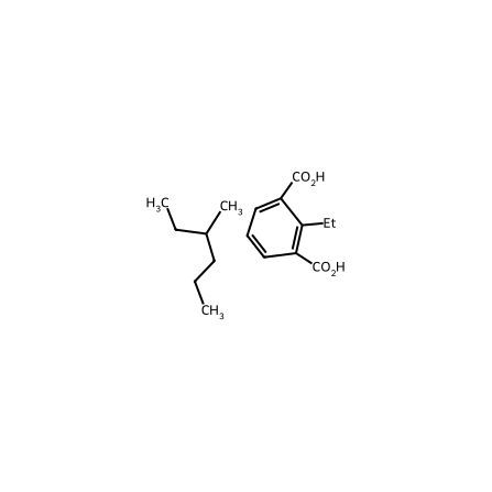 CCCC(C)CC.CCc1c(C(=O)O)cccc1C(=O)O